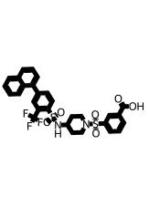 O=C(O)c1cccc(S(=O)(=O)N2CCC(NS(=O)(=O)c3ccc(-c4cccc5ccccc45)cc3C(F)(F)F)CC2)c1